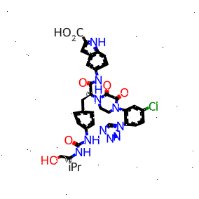 CC(C)[C@H](CO)NC(=O)Nc1ccc(C[C@@H](C(=O)Nc2ccc3[nH]c(C(=O)O)cc3c2)N2CCN(c3cc(Cl)ccc3-n3cnnn3)C(=O)C2=O)cc1